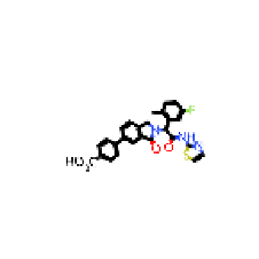 Cc1ccc(F)cc1C(C(=O)Nc1nccs1)N1Cc2ccc(-c3ccc(C(=O)O)cc3)cc2C1=O